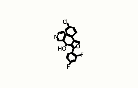 OC(c1cccnc1)c1c(-c2ccc(Cl)cc2)coc1-c1ccc(F)cc1F